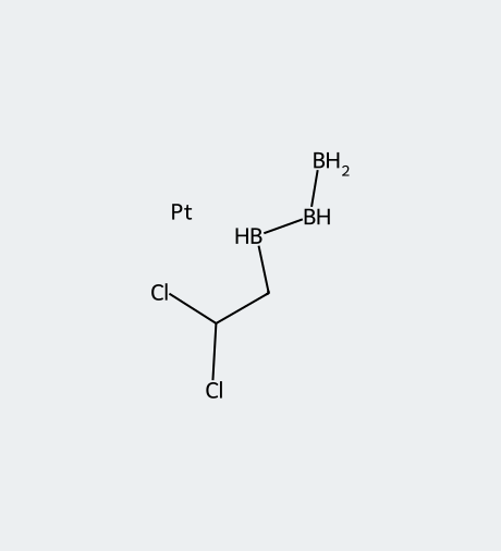 BBBCC(Cl)Cl.[Pt]